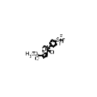 CCN(C(=O)c1ccc(C(=O)OC)s1)c1ccc(SC(F)(F)F)cc1